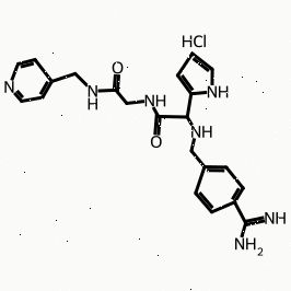 Cl.N=C(N)c1ccc(CNC(C(=O)NCC(=O)NCc2ccncc2)c2ccc[nH]2)cc1